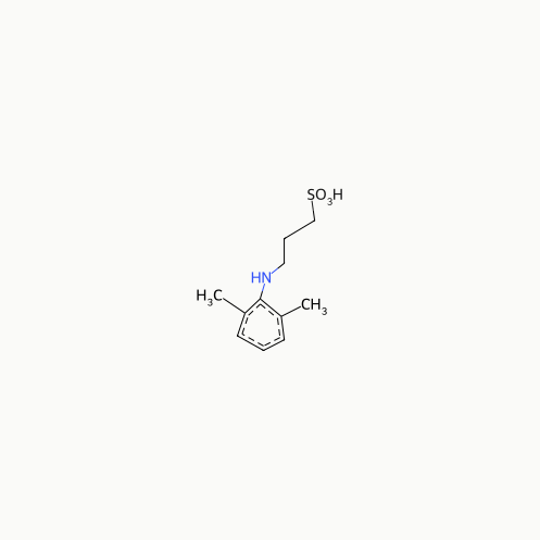 Cc1cccc(C)c1NCCCS(=O)(=O)O